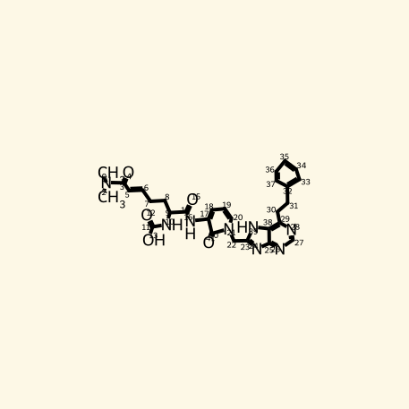 CN(C)C(=O)C=CCCC(NC(=O)O)C(=O)Nc1cccn(Cc2nc3ncnc(CCc4ccccc4)c3[nH]2)c1=O